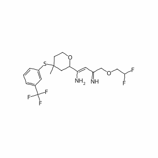 CC1(Sc2cccc(C(F)(F)F)c2)CCOC(/C(N)=C/C(=N)COCC(F)F)C1